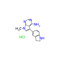 Cl.Cn1cc(-c2ccc3c(c2)CCN3)c2c(N)ncnc21